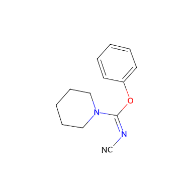 N#CN=C(Oc1ccccc1)N1CCCCC1